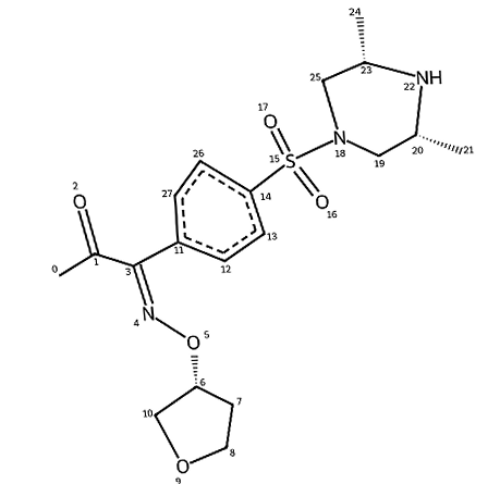 CC(=O)/C(=N/O[C@@H]1CCOC1)c1ccc(S(=O)(=O)N2C[C@@H](C)N[C@@H](C)C2)cc1